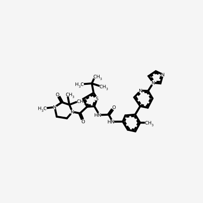 Cc1ccc(NC(=O)Nc2sc(C(C)(C)C)cc2C(=O)N2CCN(C)C(=O)C2(C)C)cc1-c1ccc(-n2ccnc2)nc1